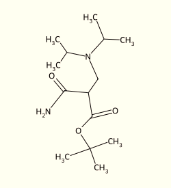 CC(C)N(CC(C(N)=O)C(=O)OC(C)(C)C)C(C)C